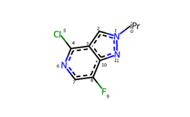 CC(C)n1cc2c(Cl)ncc(F)c2n1